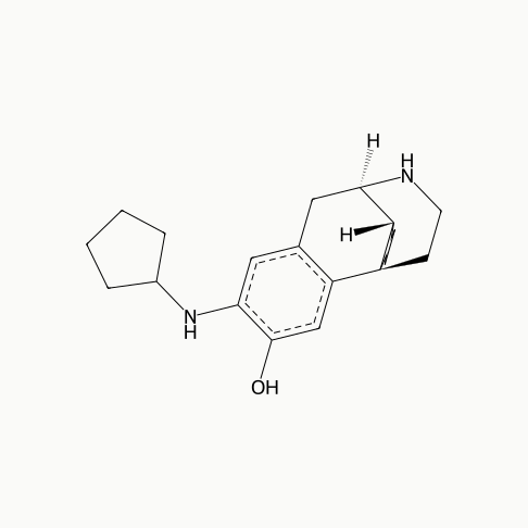 Oc1cc2c(cc1NC1CCCC1)C[C@H]1NCC[C@@]23CCCC[C@@H]13